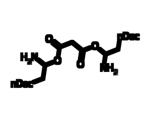 CCCCCCCCCCCC(N)OC(=O)CC(=O)OC(N)CCCCCCCCCCC